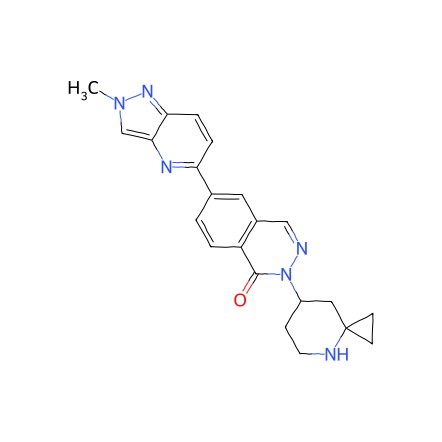 Cn1cc2nc(-c3ccc4c(=O)n(C5CCNC6(CC6)C5)ncc4c3)ccc2n1